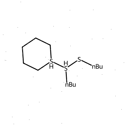 CCCCS[SH](CCCC)[SH]1CCCCC1